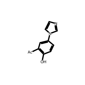 CC(=O)c1cc(-n2ccnc2)ccc1O